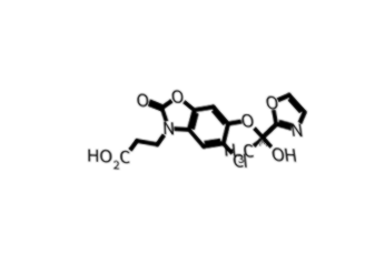 C[C@@](O)(Oc1cc2oc(=O)n(CCC(=O)O)c2cc1Cl)c1ncco1